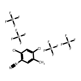 Cc1cc([N+]#N)c(Cl)cc1Cl.F[B-](F)(F)F.F[B-](F)(F)F.F[B-](F)(F)F.F[B-](F)(F)F